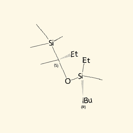 CC[C@@H](C)[Si](C)(CC)O[C@](C)(CC)[Si](C)(C)C